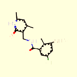 CC(=O)Nc1cc(Cl)cc(C(=O)NCc2c(C)cc(C)[nH]c2=O)c1C